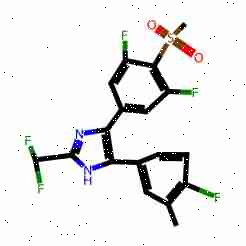 Cc1cc(-c2[nH]c(C(F)F)nc2-c2cc(F)c(S(C)(=O)=O)c(F)c2)ccc1F